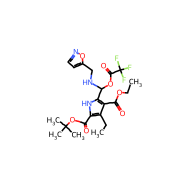 CCOC(=O)c1c(C(NCc2ccno2)OC(=O)C(F)(F)F)[nH]c(C(=O)OC(C)(C)C)c1CC